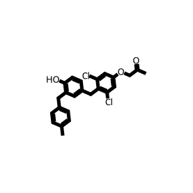 CC(=O)COc1cc(Cl)c(Cc2ccc(O)c(Cc3ccc(C)cc3)c2)c(Cl)c1